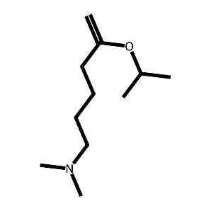 C=C(CCCCN(C)C)OC(C)C